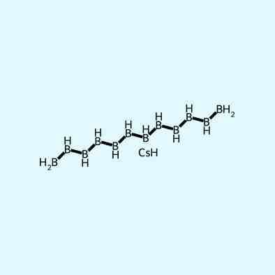 BBBBBBBBBBBB.[CsH]